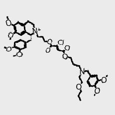 CCCOCCN(CCCOC(=O)/C=C(\Cl)C(=O)OCCC[N@+]1(C)CCc2cc(OC)c(OC)cc2[C@H]1Cc1ccc(OC)c(OC)c1)Cc1ccc(OC)c(OC)c1